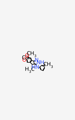 CC[C@@H]1c2cc(OC)c(OC)cc2-c2n[nH]c(Nc3cccc(C)c3)c21